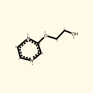 OCCOc1cnccn1